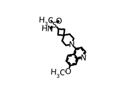 COc1ccc2c(N3CCC4(CC3)CC(S(C)(=N)=O)C4)ccnc2c1